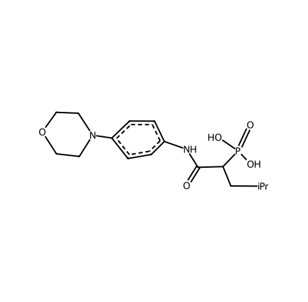 CC(C)CC(C(=O)Nc1ccc(N2CCOCC2)cc1)P(=O)(O)O